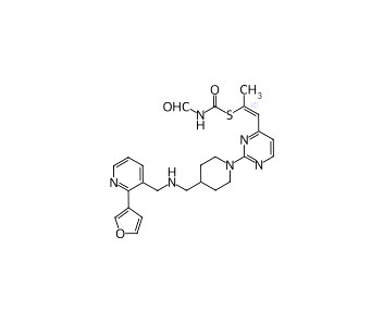 C/C(=C/c1ccnc(N2CCC(CNCc3cccnc3-c3ccoc3)CC2)n1)SC(=O)NC=O